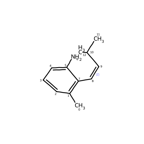 Cc1cccc(N)c1/C=C\C(C)C